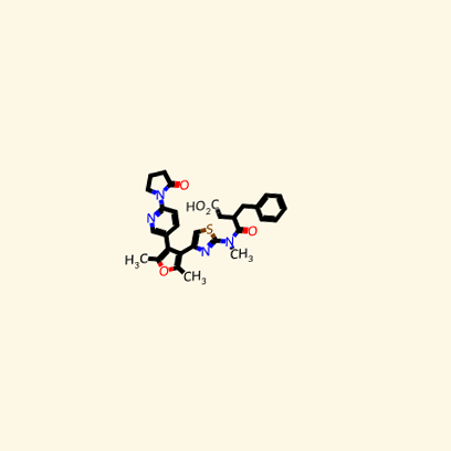 Cc1oc(C)c(-c2csc(N(C)C(=O)C(CC(=O)O)Cc3ccccc3)n2)c1-c1ccc(N2CCCC2=O)nc1